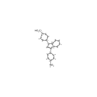 O=C(O)c1ccc(-c2nn(-c3ccc([N+](=O)[O-])cc3)c3ccccc23)cc1